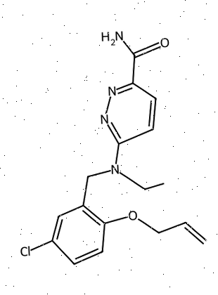 C=CCOc1ccc(Cl)cc1CN(CC)c1ccc(C(N)=O)nn1